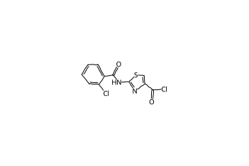 O=C(Cl)c1csc(NC(=O)c2ccccc2Cl)n1